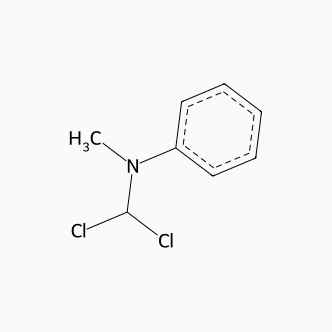 CN(c1ccccc1)C(Cl)Cl